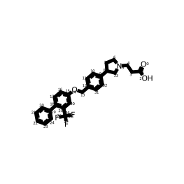 O=C(O)CCN1CCC(c2ccc(COc3ccc(-c4ccccc4)c(C(F)(F)F)c3)cc2)C1